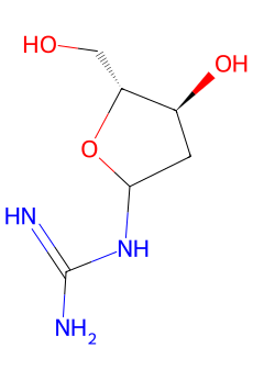 N=C(N)NC1C[C@H](O)[C@@H](CO)O1